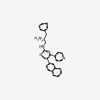 N[C@@H](CNc1ncc(-c2ccc3ccccc3c2)c(-c2ccncc2)n1)Cc1ccccc1